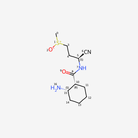 C[S+]([O-])CC[C@@H](C#N)NC(=O)[C@@H]1CCCC[C@@H]1N